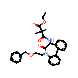 CCOC(=O)C(C)(C)C(=O)N[C@@H]1C(=O)N(CCOCc2ccccc2)c2ccccc2-c2ccccc21